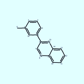 Cc1cccc(-c2[c]nc3ccccc3n2)c1